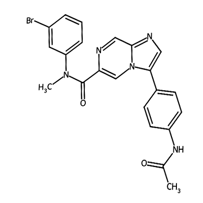 CC(=O)Nc1ccc(-c2cnc3cnc(C(=O)N(C)c4cccc(Br)c4)cn23)cc1